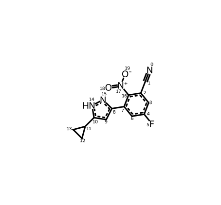 N#Cc1cc(F)cc(-c2cc(C3CC3)[nH]n2)c1[N+](=O)[O-]